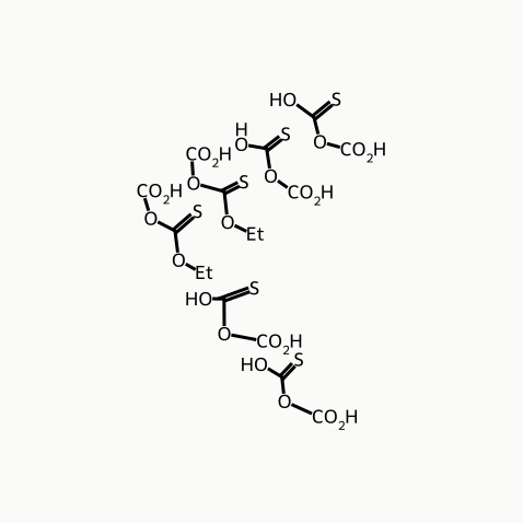 CCOC(=S)OC(=O)O.CCOC(=S)OC(=O)O.O=C(O)OC(O)=S.O=C(O)OC(O)=S.O=C(O)OC(O)=S.O=C(O)OC(O)=S